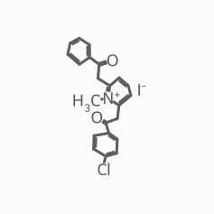 C[n+]1c(CC(=O)c2ccccc2)cccc1CC(=O)c1ccc(Cl)cc1.[I-]